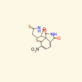 O=C1NC(=O)C2(C3CCC(=S)NC3=O)C(=S)C([N+](=O)[O-])=CC=C12